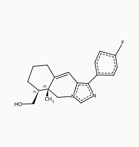 C[C@]12Cn3cnc(-c4ccc(F)cc4)c3C=C1CCC[C@@H]2CO